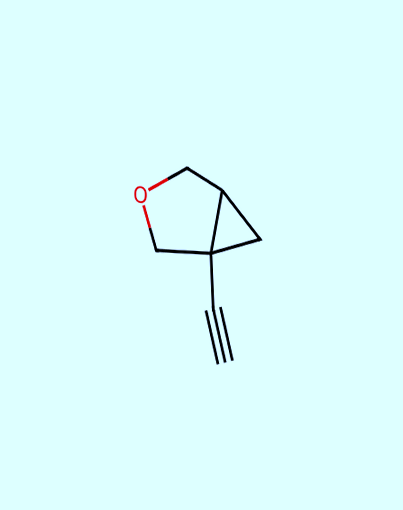 C#CC12COCC1C2